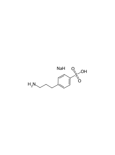 NCCCc1ccc(S(=O)(=O)O)cc1.[NaH]